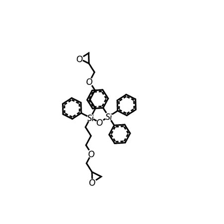 c1ccc([Si](CCCOCC2CO2)(CCCOCC2CO2)O[Si](c2ccccc2)(c2ccccc2)c2ccccc2)cc1